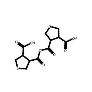 O=C(O)C1CSCC1C(=O)OC(=O)C1CSCC1C(=O)O